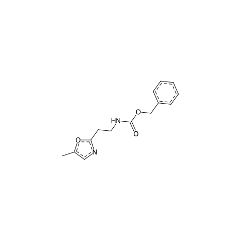 Cc1cnc(CCNC(=O)OCc2ccccc2)o1